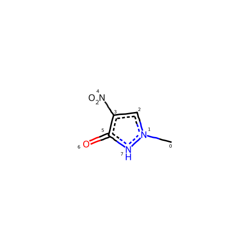 Cn1cc([N+](=O)[O-])c(=O)[nH]1